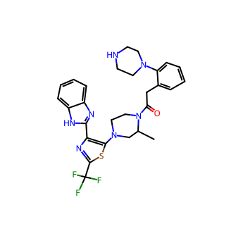 CC1CN(c2sc(C(F)(F)F)nc2-c2nc3ccccc3[nH]2)CCN1C(=O)Cc1ccccc1N1CCNCC1